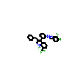 Fc1ccc(CNc2cccc(-c3c(Cc4ccccc4)cnc4c(C(F)(F)F)cccc34)c2)cc1F